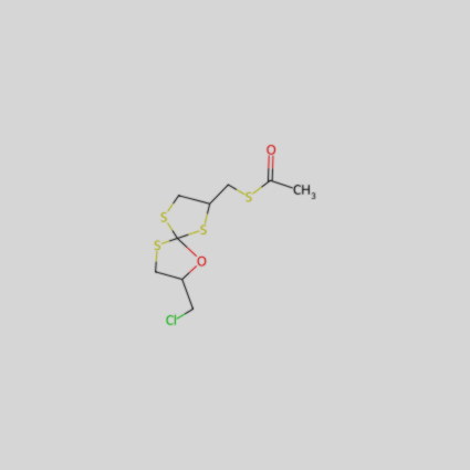 CC(=O)SCC1CSC2(OC(CCl)CS2)S1